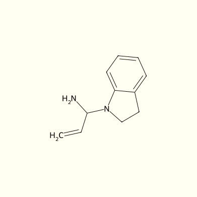 C=CC(N)N1CCc2ccccc21